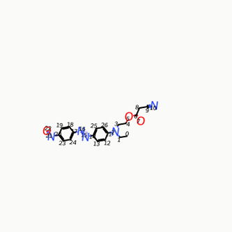 CCN(CCOC(=O)CC#N)c1ccc(/N=N/c2ccc(N=O)cc2)cc1